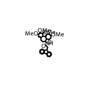 COC1=CC=C2C(C(=O)C1)C(NC(=O)CC1c3ccccc3-c3ccccc31)CCC1=CC(OC)=C(OC)C(OC)C12